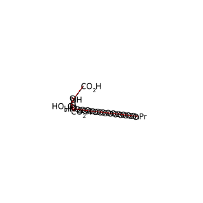 CCCOCCOCCOCCOCCOCCOCCOCCOCCOCCOCCOCCOCCOCCOCCOCCOCCOCCOCCOCCOCCOCCOCCOCCOCCCC(=O)[C@H](CCC(=O)O)NC(=O)CC[C@H](CC(=O)[C@H]1CC[C@H](CNC(=O)CCCCCCCCCCCCCCCCCCC(=O)O)CC1)C(=O)O